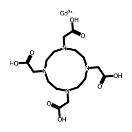 O=C(O)CN1CCN(CC(=O)O)CCN(CC(=O)O)CCN(CC(=O)O)CC1.[Gd+3]